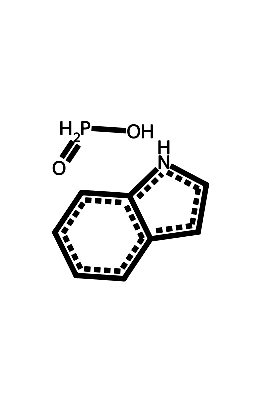 O=[PH2]O.c1ccc2[nH]ccc2c1